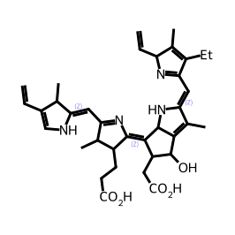 C=CC1=CN/C(=C\C2=NC(=C3\C4N/C(=C\C5=NC(C=C)C(C)=C5CC)C(C)=C4C(O)C3CC(=O)O)/C(CCC(=O)O)C2C)C1C